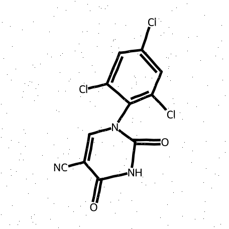 N#Cc1cn(-c2c(Cl)cc(Cl)cc2Cl)c(=O)[nH]c1=O